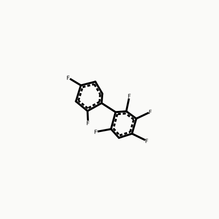 Fc1ccc(-c2c(F)cc(F)c(F)c2F)c(F)c1